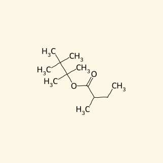 CCC(C)C(=O)OC(C)(C)C(C)(C)C